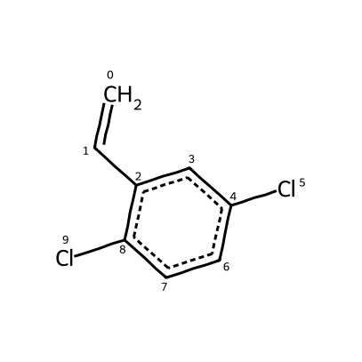 C=Cc1cc(Cl)ccc1Cl